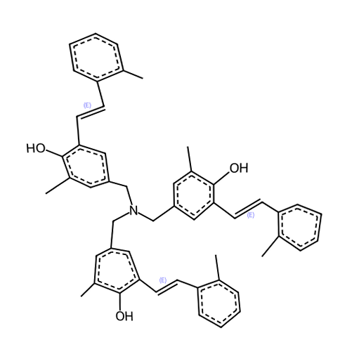 Cc1ccccc1/C=C/c1cc(CN(Cc2cc(C)c(O)c(/C=C/c3ccccc3C)c2)Cc2cc(C)c(O)c(/C=C/c3ccccc3C)c2)cc(C)c1O